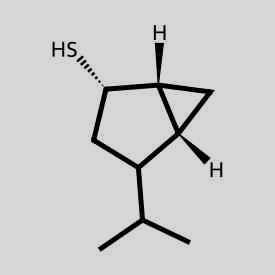 CC(C)C1C[C@H](S)[C@@H]2C[C@H]12